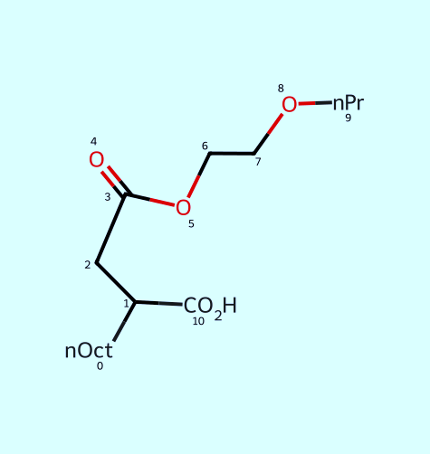 CCCCCCCCC(CC(=O)OCCOCCC)C(=O)O